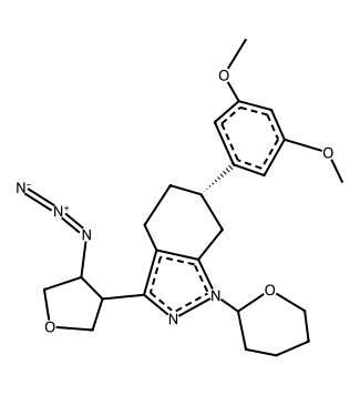 COc1cc(OC)cc([C@H]2CCc3c(C4COCC4N=[N+]=[N-])nn(C4CCCCO4)c3C2)c1